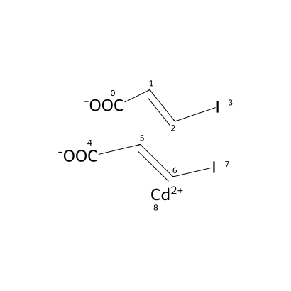 O=C([O-])C=CI.O=C([O-])C=CI.[Cd+2]